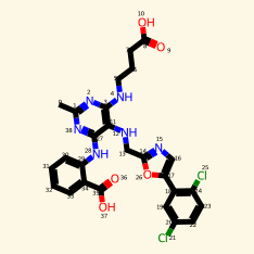 Cc1nc(NCCCC(=O)O)c(NCc2ncc(-c3cc(Cl)ccc3Cl)o2)c(Nc2ccccc2C(=O)O)n1